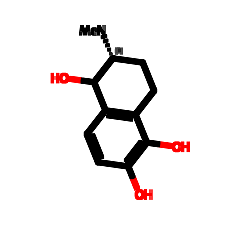 CN[C@@H]1CCc2c(ccc(O)c2O)C1O